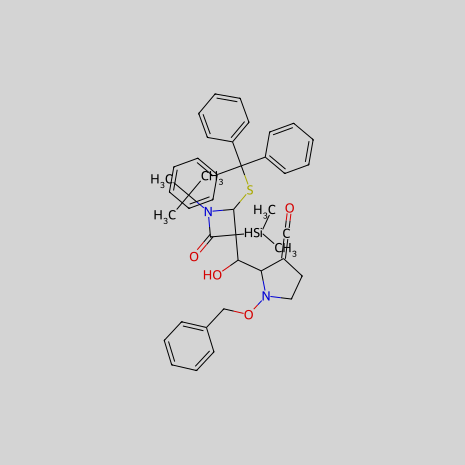 C[SiH](C)C1(C(O)C2C(=C=O)CCN2OCc2ccccc2)C(=O)N(C(C)(C)C)C1SC(c1ccccc1)(c1ccccc1)c1ccccc1